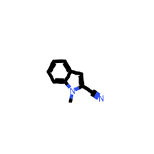 Cn1c(C#N)cc2ccccc21